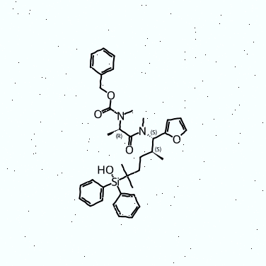 C[C@H](C(=O)N(C)[C@H](c1ccco1)[C@@H](C)CCC(C)(C)[Si](O)(c1ccccc1)c1ccccc1)N(C)C(=O)OCc1ccccc1